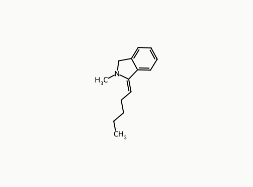 CCCC/C=C1/c2ccccc2CN1C